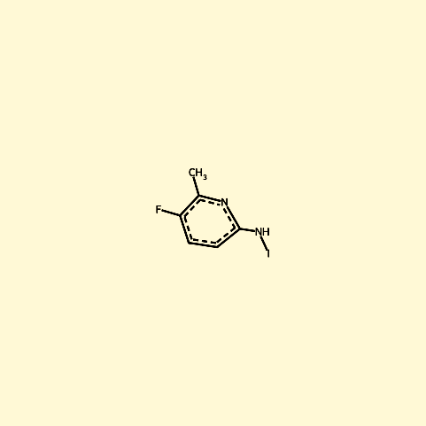 Cc1nc(NI)ccc1F